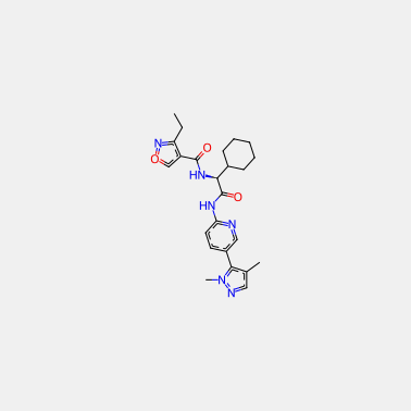 CCc1nocc1C(=O)N[C@H](C(=O)Nc1ccc(-c2c(C)cnn2C)cn1)C1CCCCC1